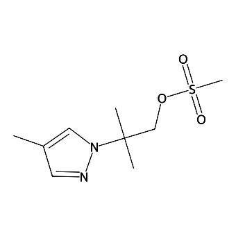 Cc1cnn(C(C)(C)COS(C)(=O)=O)c1